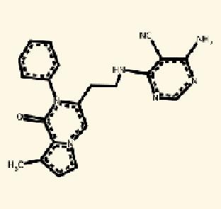 Cc1ccn2cc(CCNc3ncnc(N)c3C#N)n(-c3ccccc3)c(=O)c12